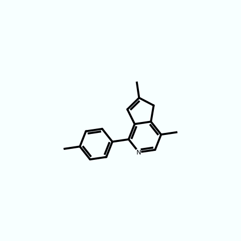 CC1=Cc2c(-c3ccc(C)cc3)ncc(C)c2C1